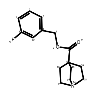 O=C(OCc1cccc(F)c1)C12CCN(CC1)CC2